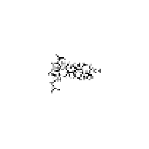 C=C(C)[C@@H]1CC[C@]2(C(=O)NCC(C)C)CC[C@]3(C)[C@H](CC[C@@H]4[C@@]5(C)CC[C@H](O)C(C)(C)[C@@H]5CC[C@]43C)[C@@H]12